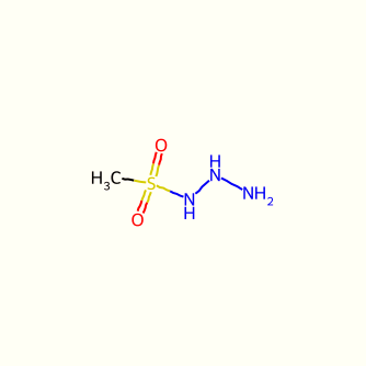 CS(=O)(=O)NNN